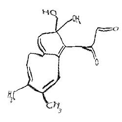 Cc1cc2c(cc1C)=C(C(=O)C=O)C(O)(O)C=2